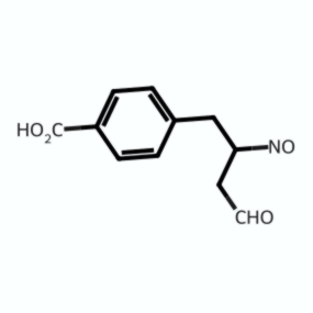 O=CCC(Cc1ccc(C(=O)O)cc1)N=O